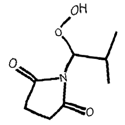 CC(C)C(OO)N1C(=O)CCC1=O